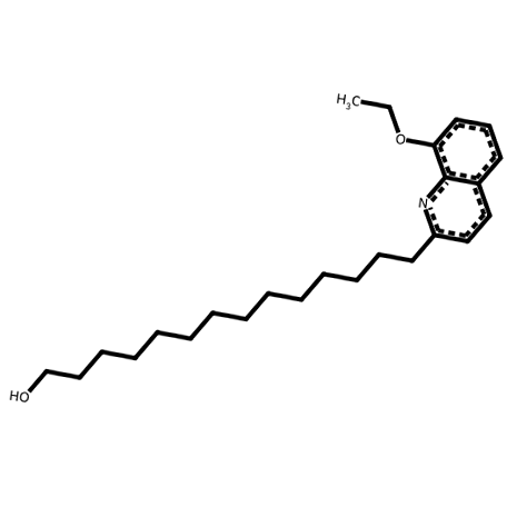 CCOc1cccc2ccc(CCCCCCCCCCCCCCO)nc12